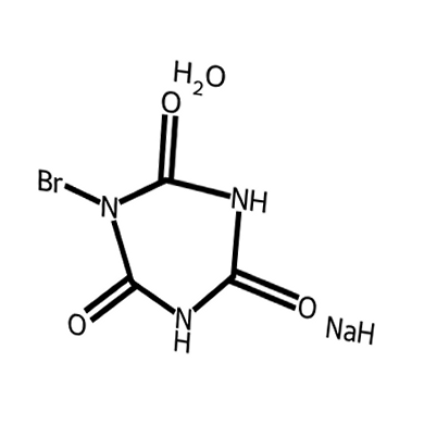 O.O=c1[nH]c(=O)n(Br)c(=O)[nH]1.[NaH]